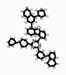 c1ccc(-c2ccc(-c3nc(-c4cccc(-c5cccc6ccccc56)c4)nc(-c4cccc5oc6c(-c7cc(-c8ccccc8)c8ccccc8c7)cccc6c45)n3)cc2)cc1